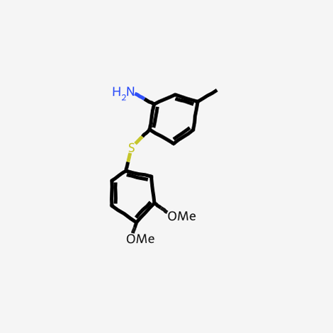 COc1ccc(Sc2ccc(C)cc2N)cc1OC